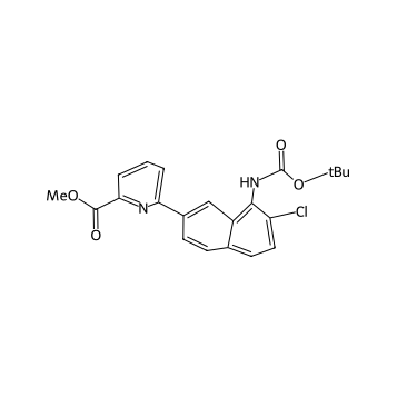 COC(=O)c1cccc(-c2ccc3ccc(Cl)c(NC(=O)OC(C)(C)C)c3c2)n1